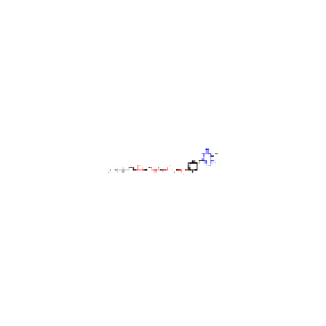 CC(=O)NCCOCCOCCOCCOc1ccc(-c2nnc(C)nn2)cc1